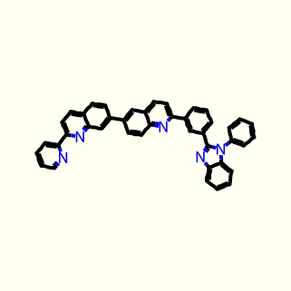 c1ccc(-n2c(-c3cccc(-c4ccc5cc(-c6ccc7ccc(-c8ccccn8)nc7c6)ccc5n4)c3)nc3ccccc32)cc1